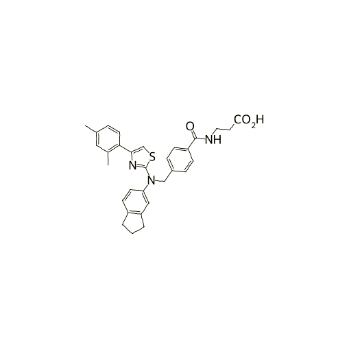 Cc1ccc(-c2csc(N(Cc3ccc(C(=O)NCCC(=O)O)cc3)c3ccc4c(c3)CCC4)n2)c(C)c1